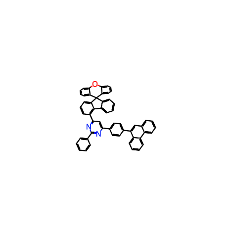 c1ccc(-c2nc(-c3ccc(-c4cc5ccccc5c5ccccc45)cc3)cc(-c3cccc4c3-c3ccccc3C43c4ccccc4Oc4ccccc43)n2)cc1